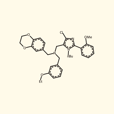 CCCCn1c(-c2ccccc2OC)nc(Cl)c1CN(Cc1cccc(OCC)c1)Cc1ccc2c(c1)OCCO2